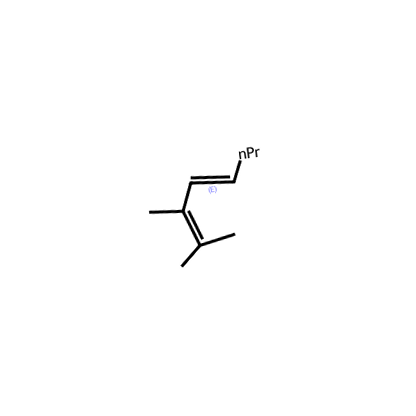 CCC/C=C/C(C)=C(C)C